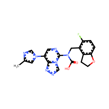 Cc1cn(-c2cnc(N(Cc3c(F)ccc4c3CCO4)C(=O)O)n3cnnc23)cn1